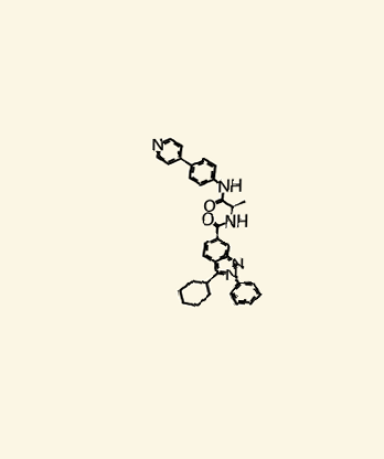 C[C@@H](NC(=O)c1ccc2c(C3CCCCC3)n(-c3ccccc3)nc2c1)C(=O)Nc1ccc(-c2ccncc2)cc1